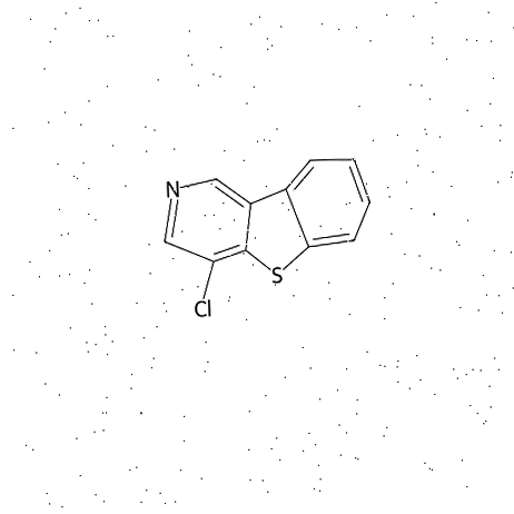 Clc1cncc2c1sc1ccccc12